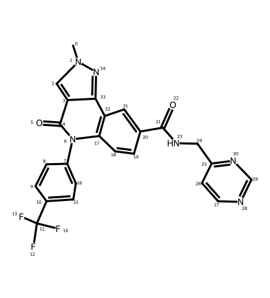 Cn1cc2c(=O)n(-c3ccc(C(F)(F)F)cc3)c3ccc(C(=O)NCc4ccncn4)cc3c2n1